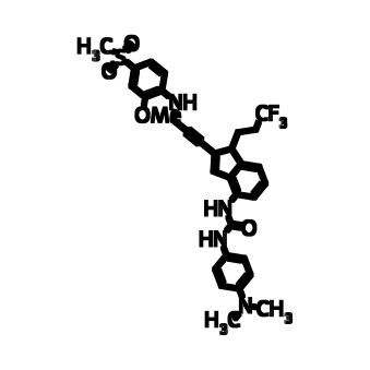 COc1cc(S(C)(=O)=O)ccc1NCC#CC1=Cc2c(NC(=O)Nc3ccc(N(C)C)cc3)cccc2C1CCC(F)(F)F